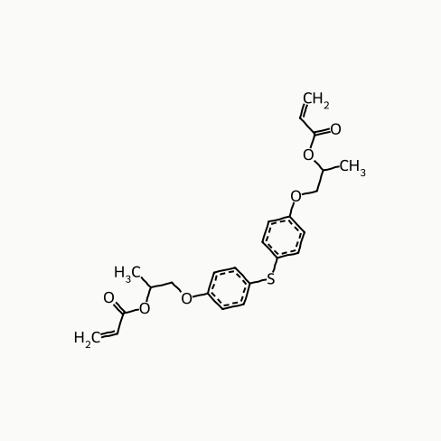 C=CC(=O)OC(C)COc1ccc(Sc2ccc(OCC(C)OC(=O)C=C)cc2)cc1